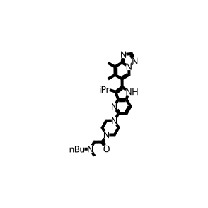 CCCCN(C)CC(=O)N1CCN(c2ccc3[nH]c(-c4cn5ncnc5c(C)c4C)c(C(C)C)c3n2)CC1